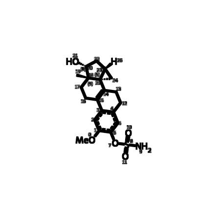 COc1cc2c(cc1OS(N)(=O)=O)CCC1=C2CC[C@]2(C)[C@H](O)C[C@@H]3C[C@@]132